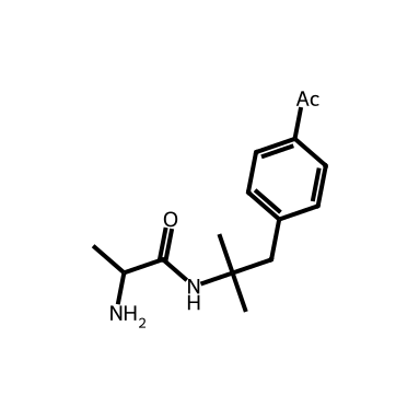 CC(=O)c1ccc(CC(C)(C)NC(=O)C(C)N)cc1